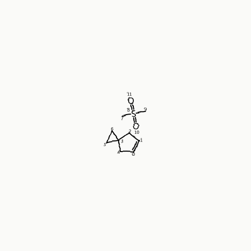 C1=CCC2(C1)CC2.CS(C)(=O)=O